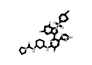 Cc1ccc(S(=O)(=O)n2cc(-c3nc(NC4CCCC(NC(=O)N5CCCC5)C4)c(F)cc3-c3nc[nH]n3)c3cc(F)cc(F)c32)cc1